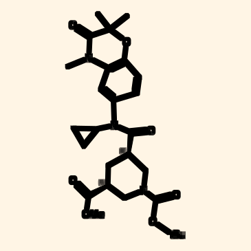 COC(=O)[C@H]1C[C@@H](C(=O)N(c2ccc3c(c2)N(C)C(=O)C(C)(C)O3)C2CC2)CN(C(=O)OC(C)(C)C)C1